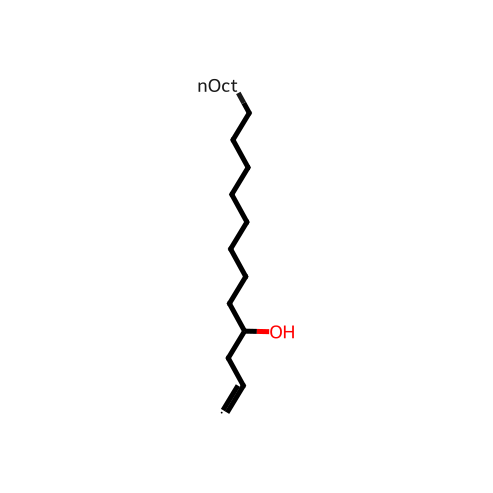 [CH]=CCC(O)CCCCCCCCCCCCCCCC